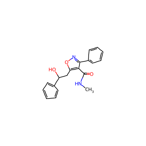 CNC(=O)c1c(-c2ccccc2)noc1CC(O)c1ccccc1